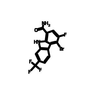 NC(=O)c1cc(F)c(Br)c2c1[nH]c1cc(C(F)(F)F)ccc12